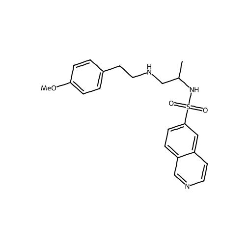 COc1ccc(CCNCC(C)NS(=O)(=O)c2ccc3cnccc3c2)cc1